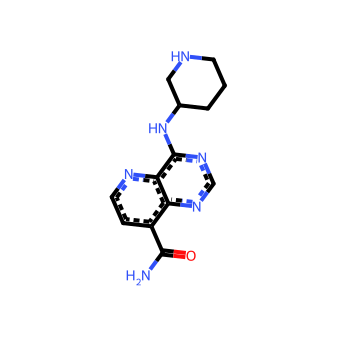 NC(=O)c1ccnc2c(NC3CCCNC3)ncnc12